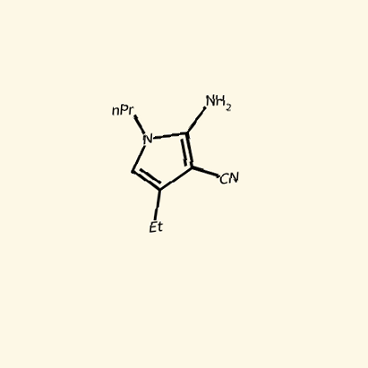 CCCn1cc(CC)c(C#N)c1N